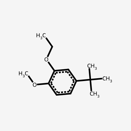 CCOc1cc(C(C)(C)C)ccc1OC